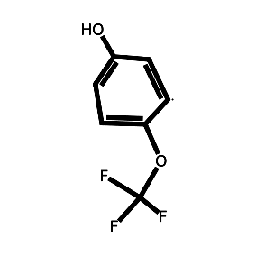 Oc1c[c]c(OC(F)(F)F)cc1